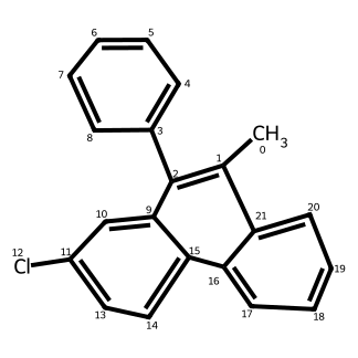 Cc1c(-c2ccccc2)c2cc(Cl)ccc2c2ccccc12